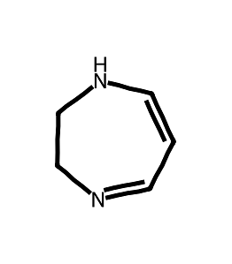 C1=CNCCN=C1